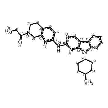 C[C@H]1CC[C@H](n2c3ccccc3c3cnc(Nc4ccc5c(n4)CN(C(=O)CO)CC5)nc32)CC1